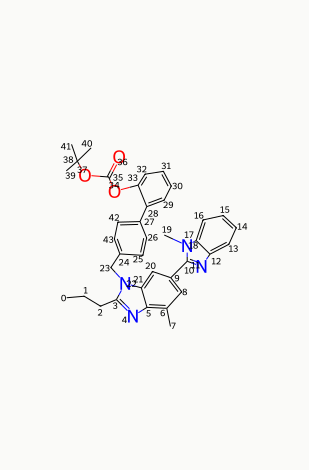 CCCc1nc2c(C)cc(-c3nc4ccccc4n3C)cc2n1Cc1ccc(-c2ccccc2OC(=O)OC(C)(C)C)cc1